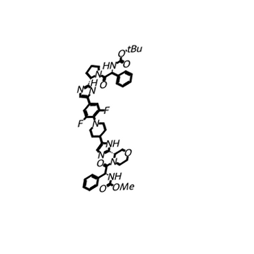 COC(=O)N[C@@H](C(=O)N1CCOC[C@H]1c1ncc(C2CCN(c3c(F)cc(-c4cnc([C@@H]5CCCN5C(=O)[C@H](NC(=O)OC(C)(C)C)c5ccccc5)[nH]4)cc3F)CC2)[nH]1)c1ccccc1